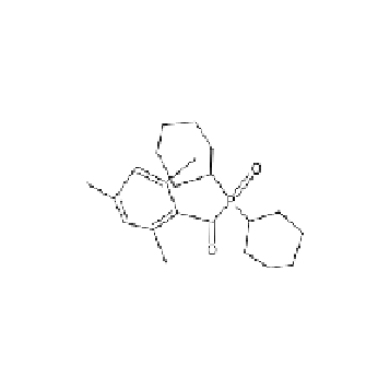 Cc1cc(C)c(C(=O)P(=O)(C2CCCCC2)C2CCCCC2)c(C)c1